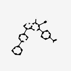 N#Cc1c(-c2ccc(C(=O)O)cc2)nc2c(-c3ccc(-c4ccccc4)nc3)cnn2c1N